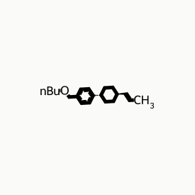 CC=C[C@H]1CC[C@H](c2ccc(COCCCC)cc2)CC1